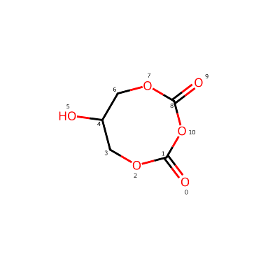 O=C1OCC(O)COC(=O)O1